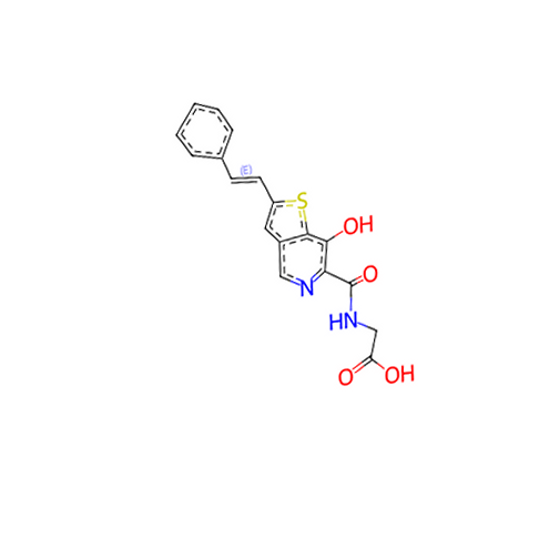 O=C(O)CNC(=O)c1ncc2cc(/C=C/c3ccccc3)sc2c1O